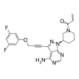 C=CC(=O)N1CCC[C@@H](n2nc(C#CCOc3cc(F)cc(F)c3)c3c(N)ncnc32)C1